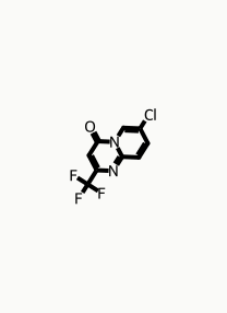 O=c1cc(C(F)(F)F)nc2ccc(Cl)cn12